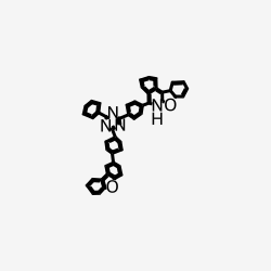 C1=CC2OC3NC(c4ccc(-c5nc(-c6ccccc6)nc(-c6ccc(-c7ccc8oc9ccccc9c8c7)cc6)n5)cc4)=c4ccccc4=C3C2C=C1